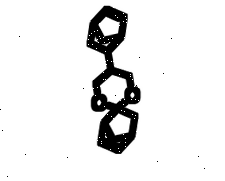 C1=CC2CC1CC2C1COC2(CC3C=CC2C3)OC1